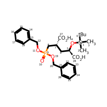 CC(C)(C)[Si](C)(C)O[C@H](C[C@H](CP(=O)(OCc1ccccc1)OCc1ccccc1)C(=O)O)C(=O)O